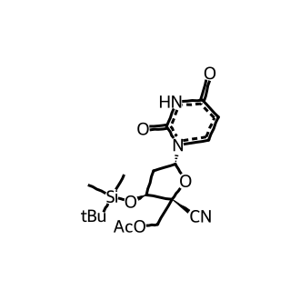 CC(=O)OC[C@@]1(C#N)O[C@@H](n2ccc(=O)[nH]c2=O)C[C@@H]1O[Si](C)(C)C(C)(C)C